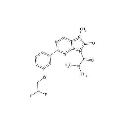 CN(C)C(=O)n1c(=O)n(C)c2cnc(-c3cccc(OCC(F)F)c3)nc21